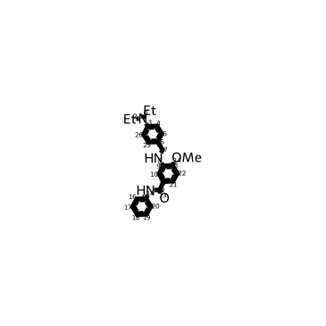 CCN(CC)c1ccc(CNc2cc(C(=O)Nc3ccccc3)ccc2OC)cc1